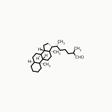 CC(C=O)CCC[C@@H](C)[C@H]1CC[C@H]2[C@@H]3CC[C@@H]4CCCC[C@]4(C)[C@H]3CC[C@]12C